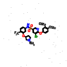 COc1ccc(Oc2ncc(S(=O)(=O)Nc3ccc(C(F)(F)F)c(OC4CCN(C)C4)c3)cc2Br)cc1OC